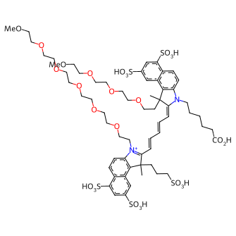 COCCOCCOCCOCCOCCOCC[N+]1=C(/C=C/C=C/C=C2/N(CCCCCC(=O)O)c3ccc4c(S(=O)(=O)O)cc(S(=O)(=O)O)cc4c3C2(C)CCOCCOCCOCCOC)C(C)(CCCS(=O)(=O)O)c2c1ccc1c(S(=O)(=O)O)cc(S(=O)(=O)O)cc21